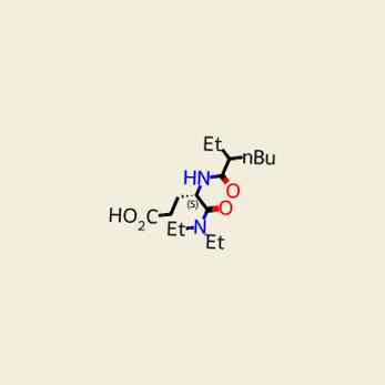 CCCCC(CC)C(=O)N[C@@H](CCC(=O)O)C(=O)N(CC)CC